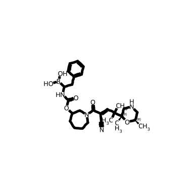 C[C@@H]1CNC[C@@](C)(C(C)(C)C=C(C#N)C(=O)N2CCCCC(OC(=O)NC(Cc3ccccc3)B(O)O)C2)O1